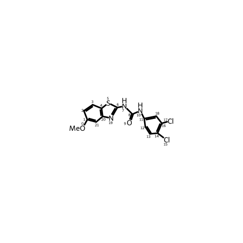 COc1ccc2sc(NC(=O)Nc3ccc(Cl)c(Cl)c3)nc2c1